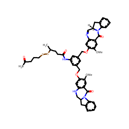 BC(=O)CCCSSC(C)CCC(=O)Nc1cc(COc2cc3c(cc2OC)C(=O)N2c4ccccc4C[C@H]2C=N3)cc(COc2cc3c(cc2OC)C(=O)N2c4ccccc4CC2CN3)c1